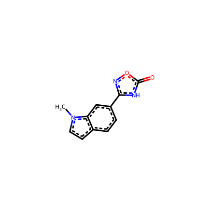 Cn1ccc2ccc(-c3noc(=O)[nH]3)cc21